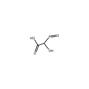 O=PC(O)C(=O)O